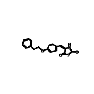 O=C1NC(=Cc2ccc(OCCc3ccccc3)cc2)C(=O)S1